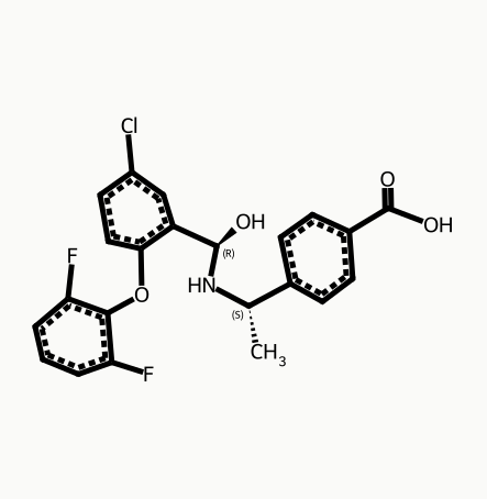 C[C@H](N[C@H](O)c1cc(Cl)ccc1Oc1c(F)cccc1F)c1ccc(C(=O)O)cc1